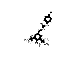 CSc1ccc(NC(=O)NCc2cc(C(C)(C)C)c(O)c(C(C)(C)C)c2)cc1